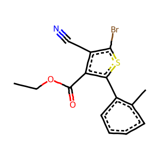 CCOC(=O)c1c(-c2ccccc2C)sc(Br)c1C#N